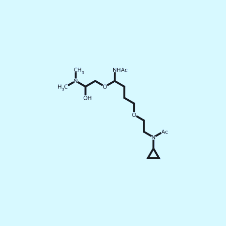 CC(=O)NC(CCCOCCN(C(C)=O)C1CC1)OCC(O)N(C)C